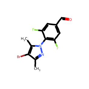 Cc1nn(-c2c(F)cc(C=O)cc2F)c(C)c1Br